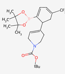 CC(C)(C)OC(=O)N1CC=C(C2CC(C(F)(F)F)=CC=C2B2OC(C)(C)C(C)(C)O2)CC1